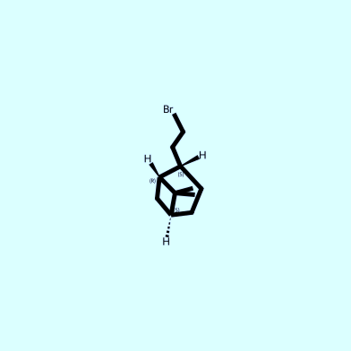 CC1(C)[C@H]2CC[C@@H](CCBr)[C@H]1C2